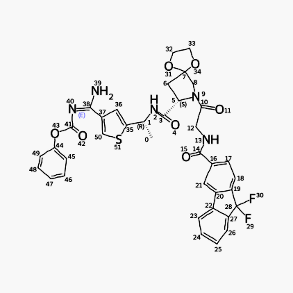 C[C@@H](NC(=O)[C@@H]1CC2(CN1C(=O)CNC(=O)c1ccc3c(c1)-c1ccccc1C3(F)F)OCCO2)c1cc(/C(N)=N\C(=O)Oc2ccccc2)cs1